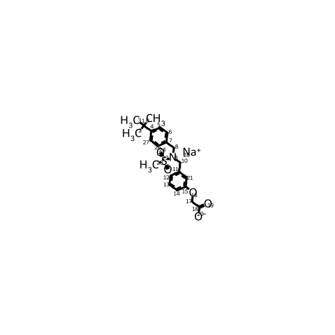 CC(C)(C)c1ccc(CN(Cc2cccc(OCC(=O)[O-])c2)S(C)(=O)=O)cc1.[Na+]